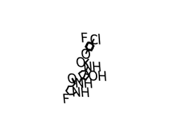 O=C(COc1ccc(Cl)c(F)c1)NC12CCC(NC(=O)C3CCC(F)CN3)(CC1)CC2O